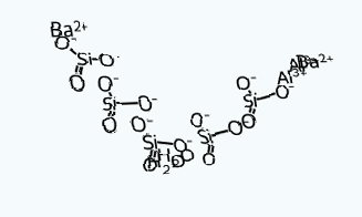 O.O.O=[Si]([O-])[O-].O=[Si]([O-])[O-].O=[Si]([O-])[O-].O=[Si]([O-])[O-].O=[Si]([O-])[O-].[Al+3].[Al+3].[Ba+2].[Ba+2]